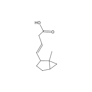 CC12CC1CCC2C=CCC(=O)O